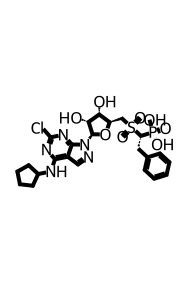 O=P(O)(O)[C@H](Cc1ccccc1)S(=O)(=O)C[C@H]1O[C@@H](n2ncc3c(NC4CCCC4)nc(Cl)nc32)[C@H](O)[C@@H]1O